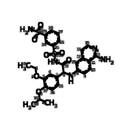 CCOc1cc(C(Nc2ccc3c(N)nccc3c2)C(=O)NS(=O)(=O)c2cccc(S(N)(=O)=O)c2)ccc1OC(C)C